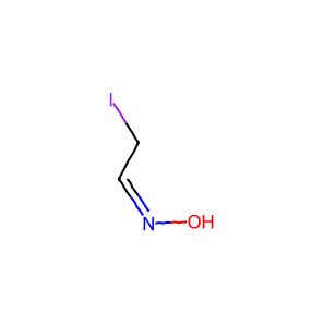 O/N=C\CI